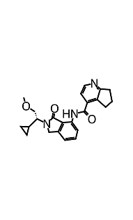 COC[C@@H](C1CC1)N1Cc2cccc(NC(=O)c3ccnc4c3CCC4)c2C1=O